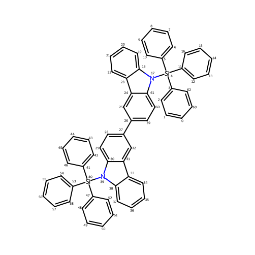 c1ccc([Si](c2ccccc2)(c2ccccc2)n2c3ccccc3c3cc(-c4ccc5c(c4)c4ccccc4n5[Si](c4ccccc4)(c4ccccc4)c4ccccc4)ccc32)cc1